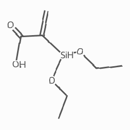 C=C(C(=O)O)[SiH](OCC)OCC